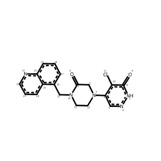 O=C1CN(c2cn[nH]c(=O)c2Cl)CCN1Cc1cccc2ncccc12